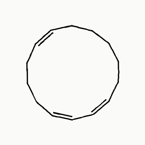 C1=CCCCC=CCCCCCC=C1